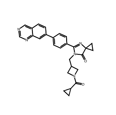 O=C(C1CC1)N1CC(CN2C(=O)C3(CC3)N=C2c2ccc(-c3ccc4cncnc4c3)cc2)C1